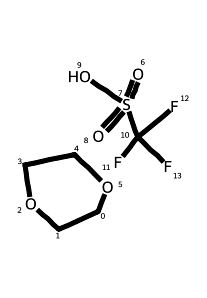 C1COCCO1.O=S(=O)(O)C(F)(F)F